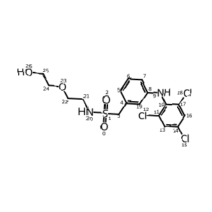 O=S(=O)(Cc1cccc(Nc2c(Cl)cc(Cl)cc2Cl)c1)NCCOCCO